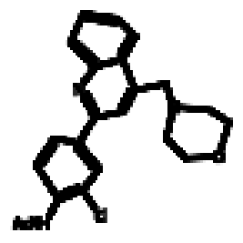 CC(=O)Nc1ccc(-c2cc(CN3CCOCC3)c3ccccc3n2)cc1Cl